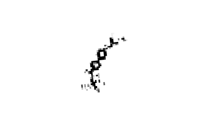 CC(C)(C#N)CNC(=O)C12CCC(c3ccc(OCC(=CF)CN)cc3)(CC1)CC2